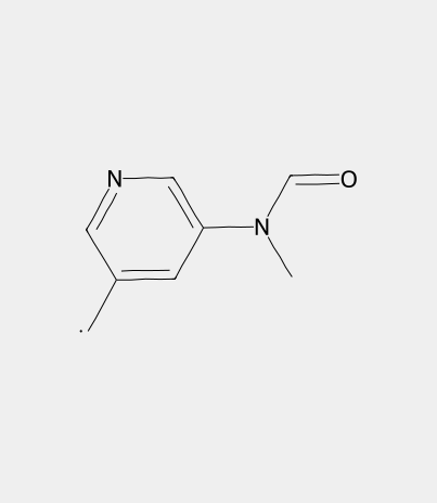 [CH2]c1cncc(N(C)C=O)c1